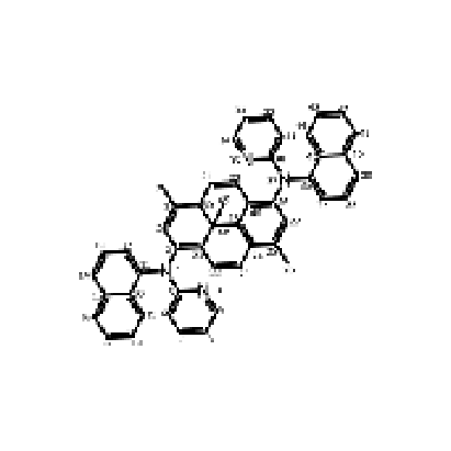 CC1=CC(N(c2ccccn2)c2cccc3ccccc23)=C2C=Cc3c(C)cc(N(c4ccccn4)c4cccc5ccccc45)c4c3C2(C)C1C=C4